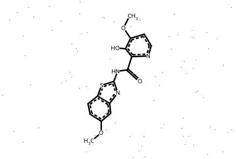 COc1ccc2sc(NC(=O)c3nccc(OC)c3O)nc2c1